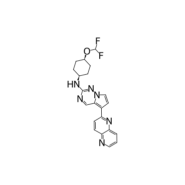 FC(F)O[C@H]1CC[C@@H](Nc2ncc3c(-c4ccc5ncccc5n4)ccn3n2)CC1